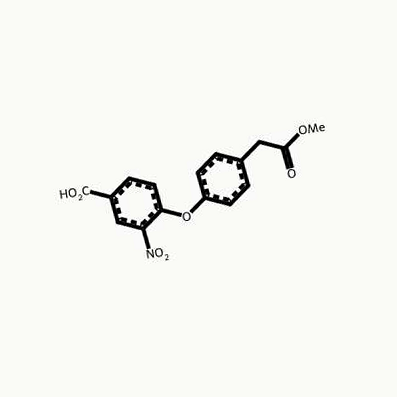 COC(=O)Cc1ccc(Oc2ccc(C(=O)O)cc2[N+](=O)[O-])cc1